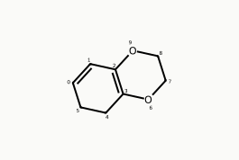 C1=CC2=C(CC1)OCCO2